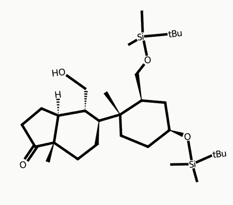 CC(C)(C)[Si](C)(C)OC[C@H]1C[C@@H](O[Si](C)(C)C(C)(C)C)CC[C@]1(C)[C@H]1CC[C@]2(C)C(=O)CC[C@H]2[C@@H]1CO